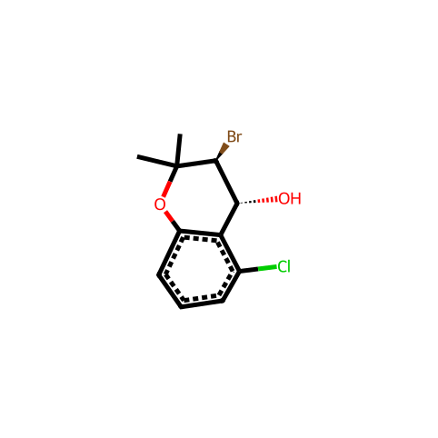 CC1(C)Oc2cccc(Cl)c2[C@@H](O)[C@@H]1Br